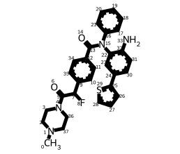 CN1CCN(C(=O)C(F)c2ccc(C(=O)N(c3ccccc3)c3cc(-c4cccs4)ccc3N)cc2)CC1